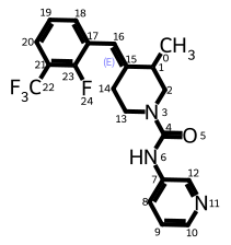 CC1CN(C(=O)Nc2cccnc2)CC/C1=C\c1cccc(C(F)(F)F)c1F